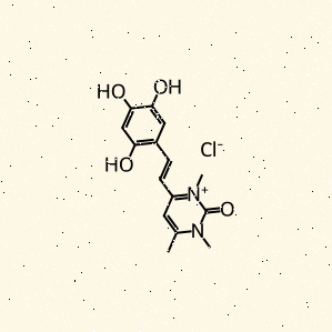 Cc1cc(C=Cc2cc(O)c(O)cc2O)[n+](C)c(=O)n1C.[Cl-]